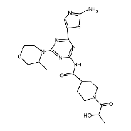 CC(O)C(=O)N1CCC(C(=O)Nc2nc(-c3cnc(N)s3)nc(N3CCOCC3C)n2)CC1